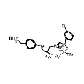 CCOC(=O)Cc1ccc(NCC(C)CNC[C@H](O[Si](C)(C)C(C)(C)C)c2cccc(Cl)c2)cc1